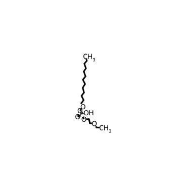 CCCCCCCCCCCCCOOP(=O)(O)OCCOCC